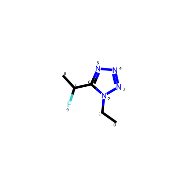 CCn1nnnc1C(C)F